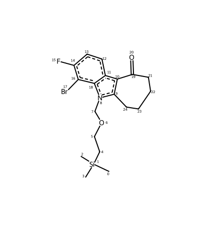 C[Si](C)(C)CCOCn1c2c(c3ccc(F)c(Br)c31)C(=O)CCCC2